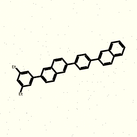 CCc1cc(CC)cc(-c2ccc3cc(-c4ccc(-c5ccc6ccccc6c5)cc4)ccc3c2)c1